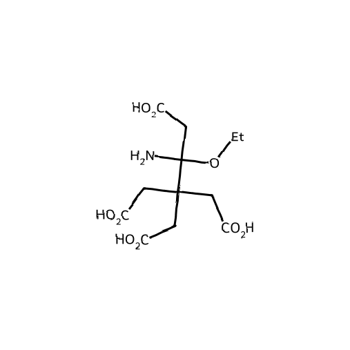 CCOC(N)(CC(=O)O)C(CC(=O)O)(CC(=O)O)CC(=O)O